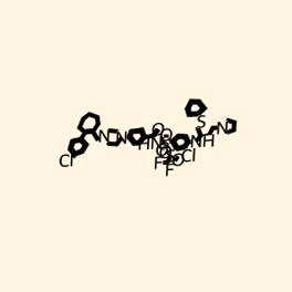 O=C(NS(=O)(=O)c1ccc(N[C@H](CCN2CCCC2)CSc2ccccc2)c(Cl)c1S(=O)(=O)C(F)F)c1ccc(N2CCN(CC3=C(c4ccc(Cl)cc4)CCCCC3)CC2)cc1